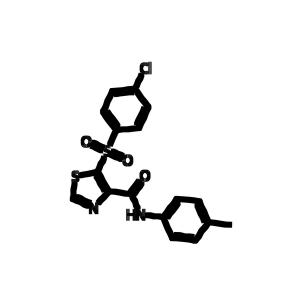 Cc1ccc(NC(=O)c2ncsc2S(=O)(=O)c2ccc(Cl)cc2)cc1